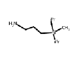 CC(C)[Si](C)(CCCN)C(C)C